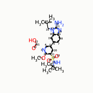 COc1ncc(-c2ccc3nc(N)n(CC(C)C)c3c2)cc1S(=O)(=O)NC(C)(C)C.O=CO